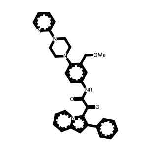 COCc1cc(NC(=O)C(=O)c2c(-c3ccccc3)cc3ccccn23)ccc1N1CCN(c2ccccn2)CC1